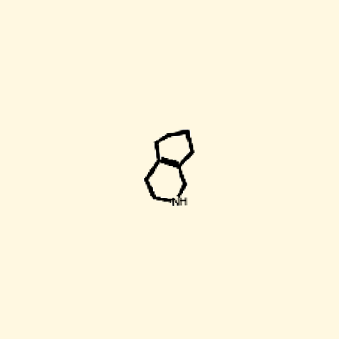 C1CCC2=C(C1)CCNC2